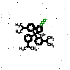 CC(C)c1cccc([Si](c2cccc(C(C)C)c2)(c2cccc(C(C)C)c2)[C]2([Ti+3])C=CC=C2)c1.[Cl-].[Cl-].[Cl-]